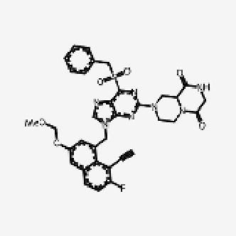 C#Cc1c(F)ccc2cc(OCOC)cc(Cn3cnc4c(S(=O)(=O)Cc5ccccc5)nc(N5CCN6C(=O)CNC(=O)C6C5)nc43)c12